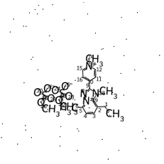 CCc1ccc(C)[n+]2nc(-c3cc[n+](C)cc3)n(C)c12.COS(=O)(=O)[O-].COS(=O)(=O)[O-]